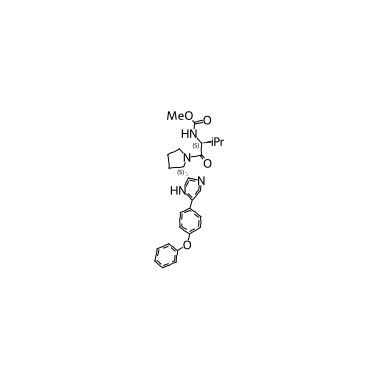 COC(=O)N[C@H](C(=O)N1CCC[C@H]1c1ncc(-c2ccc(Oc3ccccc3)cc2)[nH]1)C(C)C